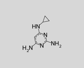 Nc1cc(NC2CC2)nc(N)n1